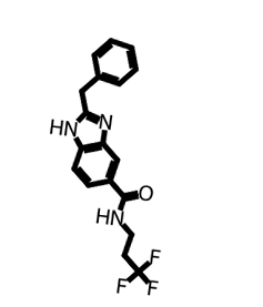 O=C(NCCC(F)(F)F)c1ccc2[nH]c(Cc3ccccc3)nc2c1